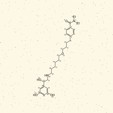 CCN(CC)C(=O)c1ccc(CCCCOCCCCCCNCC(O)c2cc(O)cc(O)c2)cc1